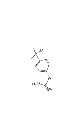 CCC(C)(C)c1ccc(NC(=N)N)cc1